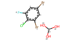 Fc1cc(Br)cc(Br)c1Cl.OB(O)O